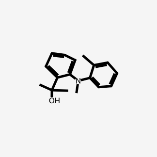 Cc1ccccc1N(C)c1ccccc1C(C)(C)O